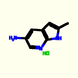 Cc1cc2cc(N)cnc2[nH]1.Cl